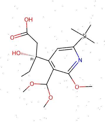 CC[C@@](O)(CC(=O)O)c1cc([Si](C)(C)C)nc(OC)c1C(OC)OC